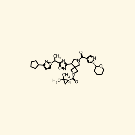 CC(c1nc(C2CN(C(=O)c3cnn(C4CCCCO4)c3)CC23CN(C(=O)[C@H]2CC2(C)C)C3)no1)n1ccc(C2CCCC2)n1